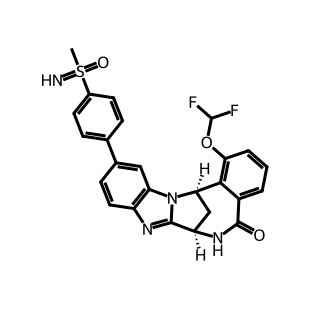 CS(=N)(=O)c1ccc(-c2ccc3nc4n(c3c2)[C@@H]2C[C@H]4NC(=O)c3cccc(OC(F)F)c32)cc1